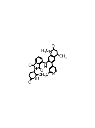 Cc1cc(-c2cc3c(cc2Nc2cccc4c2C(=O)N(C2CCC(=O)NC2=O)C4=O)N(C)C(=O)CC3C)ccn1